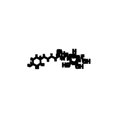 CC1CCC(CCCCC(=O)NC[C@H]2N[C@H](CO)[C@H](O)[C@@H]2O)CC1